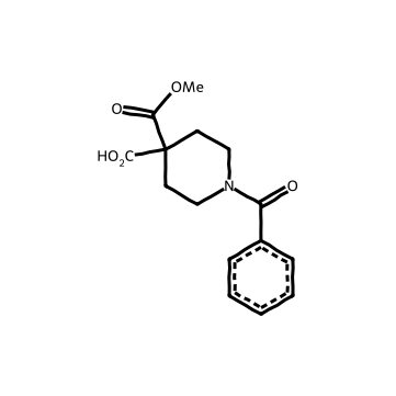 COC(=O)C1(C(=O)O)CCN(C(=O)c2ccccc2)CC1